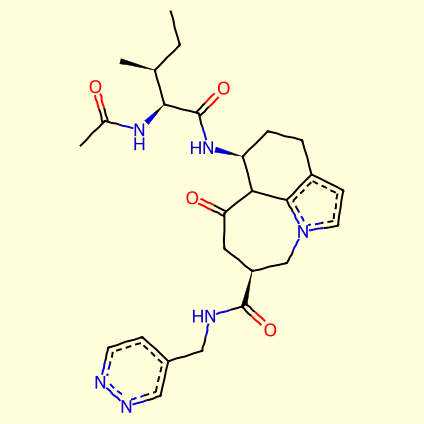 CC[C@H](C)[C@H](NC(C)=O)C(=O)N[C@H]1CCc2ccn3c2C1C(=O)C[C@H](C(=O)NCc1ccnnc1)C3